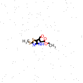 CCOC(=O)c1[nH]c2nc(SC)sc2c1C=O